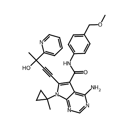 COCc1ccc(NC(=O)c2c(C#CC(C)(O)c3ccccn3)n(C3(C)CC3)c3ncnc(N)c23)cc1